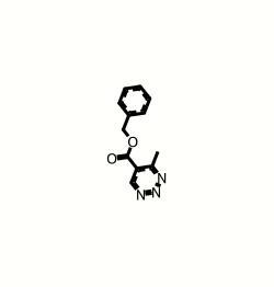 Cc1nnncc1C(=O)OCc1ccccc1